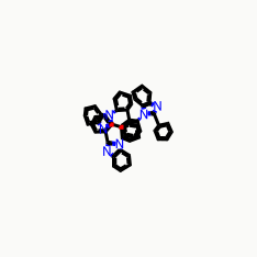 c1ccc(-c2nc3ccccc3n2-c2ccc(-n3c(-c4ccccc4)nc4ccccc43)c(-c3ccccc3-n3c(-c4ccccc4)nc4ccccc43)c2)cc1